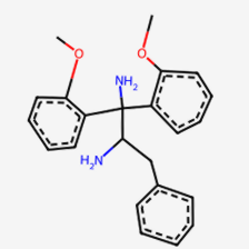 COc1ccccc1C(N)(c1ccccc1OC)C(N)Cc1ccccc1